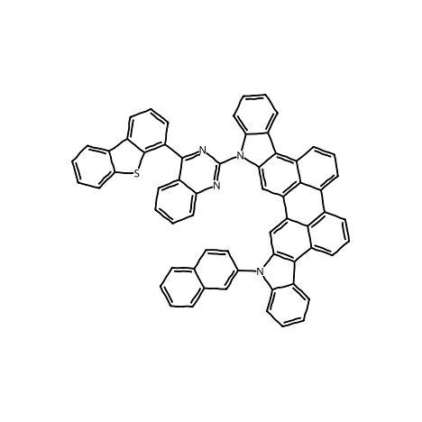 c1ccc2cc(-n3c4ccccc4c4c5cccc6c7cccc8c7c(cc7c8c8ccccc8n7-c7nc(-c8cccc9c8sc8ccccc89)c8ccccc8n7)c(cc43)c65)ccc2c1